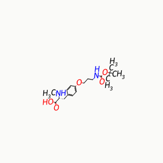 CN[C@H](Cc1ccc(OCCCNC(=O)OC(C)(C)C)cc1)C(=O)O